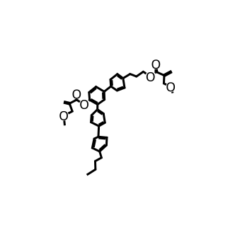 C=C(COC)C(=O)OCCCc1ccc(-c2ccc(OC(=O)C(=C)COC)c(-c3ccc(-c4ccc(CCCC)cc4)cc3)c2)cc1